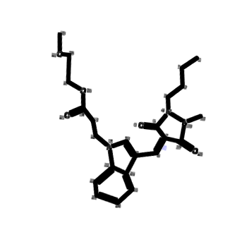 CCCCN1C(=O)/C(=C\c2cn(CCC(=O)OCCOC)c3ccccc23)C(=O)N1C